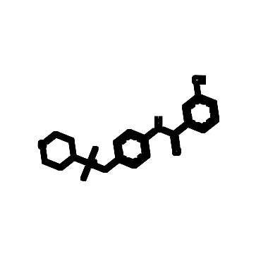 C[N+](C)(Cc1ccc(NC(=O)c2cccc(C#N)c2)cc1)C1CCOCC1